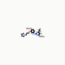 CNc1nc(Nc2ccc(OC)c(OCCCN3CCCC3)c2)nc(C(C)(F)F)c1F